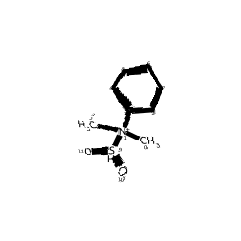 C[N+](C)(c1cc[c]cc1)[SH](=O)=O